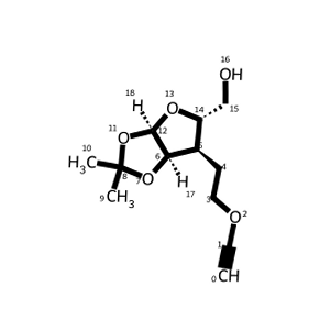 C#COCC[C@H]1[C@H]2OC(C)(C)O[C@H]2O[C@@H]1CO